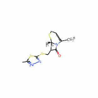 Cc1nnc(SCC2C(=O)N3C(C(=O)O)=CCS[C@@H]23)s1